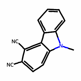 Cn1c2ccccc2c2c(C#N)c(C#N)ccc21